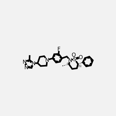 Cc1nncn1C1CCN(c2ccc(CN3[C@@H](C)CC[C@@H](c4ccccc4)S3(=O)=O)c(F)c2)CC1